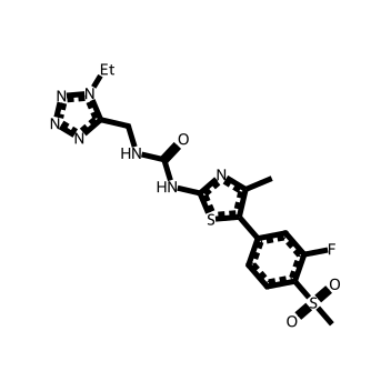 CCn1nnnc1CNC(=O)Nc1nc(C)c(-c2ccc(S(C)(=O)=O)c(F)c2)s1